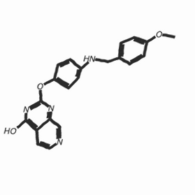 COc1ccc(CNc2ccc(Oc3nc(O)c4ccncc4n3)cc2)cc1